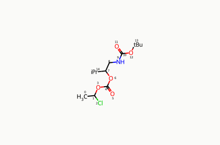 CC(Cl)OC(=O)OC(CNC(=O)OC(C)(C)C)C(C)C